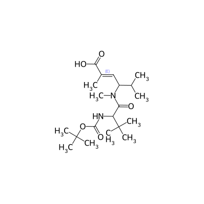 C/C(=C\C(C(C)C)N(C)C(=O)C(NC(=O)OC(C)(C)C)C(C)(C)C)C(=O)O